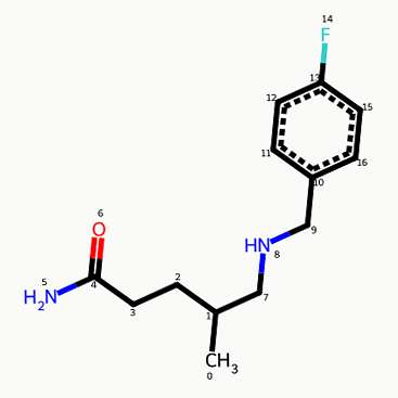 CC(CCC(N)=O)CNCc1ccc(F)cc1